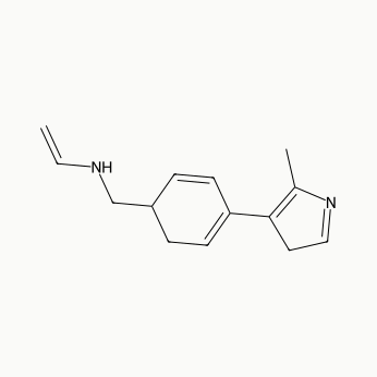 C=CNCC1C=CC(C2=C(C)N=CC2)=CC1